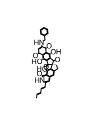 C/C=C/C=C/c1cc2cc3c(c(O)c2c(=O)[nH]1)[C@@]1(CC3)C(=O)c2c(O)c3c(c(O)c2C1=O)C(=O)C(NCc1ccccc1)=CC3=O